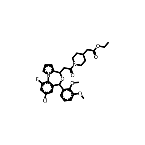 CCOC(=O)CC1CCN(C(=O)CC2OC(c3cccc(OC)c3OC)c3cc(Cl)cc(F)c3-n3cccc32)CC1